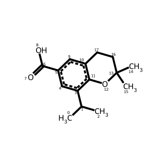 CC(C)c1cc(C(=O)O)cc2c1OC(C)(C)CC2